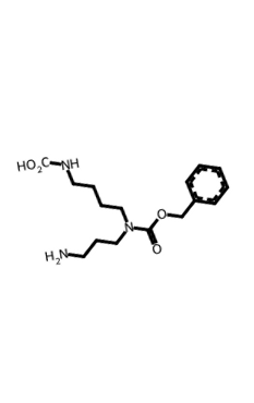 NCCCN(CCCCNC(=O)O)C(=O)OCc1ccccc1